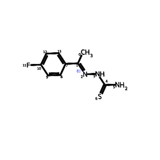 C/C(=N\NC(N)=S)c1ccc(F)cc1